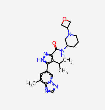 Cc1cc(-c2[nH]nc(C(=O)NC3CCCN(C4COC4)C3)c2C(C)C)cn2ncnc12